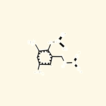 Cc1cc(C)c(O[SH](=O)=O)c(CO[SH](=O)=O)c1